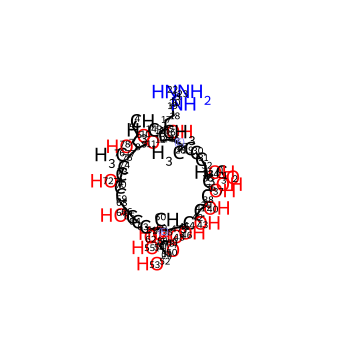 CC(=O)O.CCCCC1C(=O)OC(C(C)C(O)CCCNC(=N)N)C(C)/C=C(\C)CCCCC(O)CC(O)CC(O)CC(O)CC(O)C(O[C@H]2O[C@H](CO)[C@@H](O)[C@@H]2O)/C=C(\C)C(O)CCCC(O)CCCC(O)CCC(C)C1O